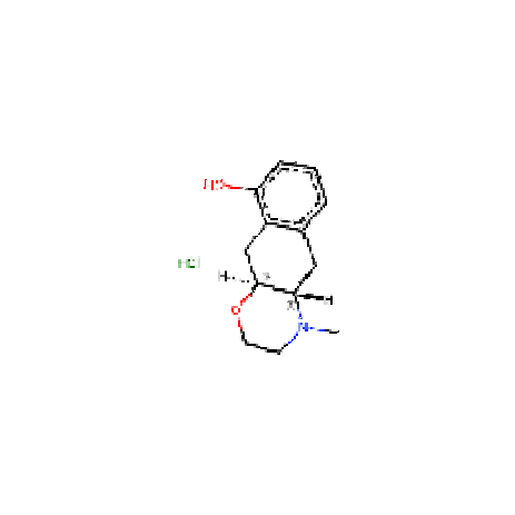 CN1CCO[C@H]2Cc3c(O)cccc3C[C@@H]21.Cl